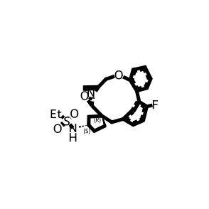 CCS(=O)(=O)N[C@H]1CC[C@@]2(Cc3ccc(F)c(c3)-c3ccccc3OCc3coc2n3)C1